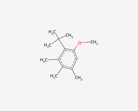 COc1[c]c(C)c(C)c(C)c1C(C)(C)C